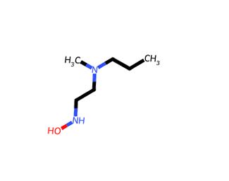 CCCN(C)CCNO